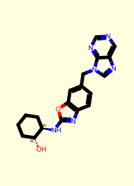 O[C@@H]1CCCC[C@H]1Nc1nc2ccc(Cn3cnc4cncnc43)cc2o1